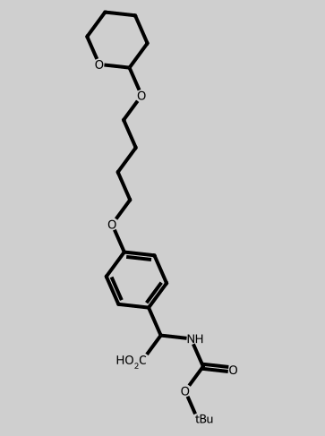 CC(C)(C)OC(=O)NC(C(=O)O)c1ccc(OCCCCOC2CCCCO2)cc1